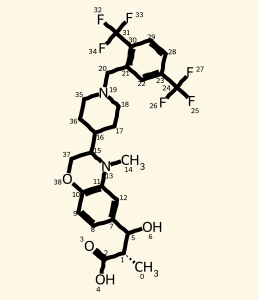 C[C@H](C(=O)O)C(O)c1ccc2c(c1)N(C)C(C1CCN(Cc3cc(C(F)(F)F)ccc3C(F)(F)F)CC1)CO2